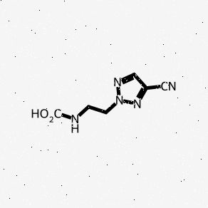 N#Cc1cnn(CCNC(=O)O)n1